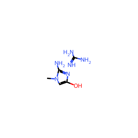 Cn1cc(O)nc1N.N=C(N)N